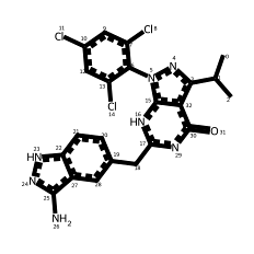 CC(C)c1nn(-c2c(Cl)cc(Cl)cc2Cl)c2[nH]c(Cc3ccc4[nH]nc(N)c4c3)nc(=O)c12